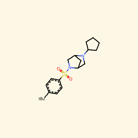 CC(C)(C)c1ccc(S(=O)(=O)N2CC3CC2CN3C2CCCC2)cc1